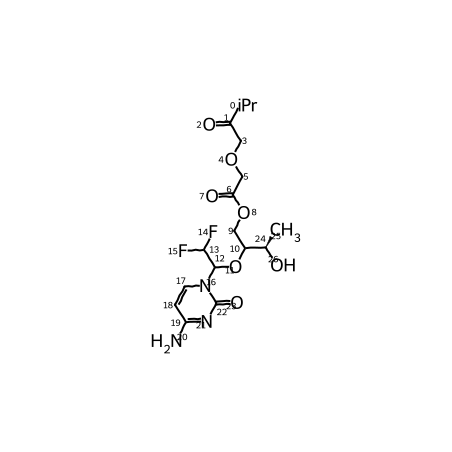 CC(C)C(=O)COCC(=O)OCC(OC(C(F)F)n1ccc(N)nc1=O)[C@@H](C)O